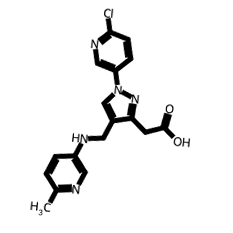 Cc1ccc(NCc2cn(-c3ccc(Cl)nc3)nc2CC(=O)O)cn1